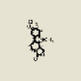 COc1ccc2c(c1)c1c(n2C)C2COC(=O)N2CC1